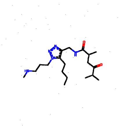 CCCCc1c(CNC(=O)C(C)CC(=O)C(C)C)nnn1CCCNC